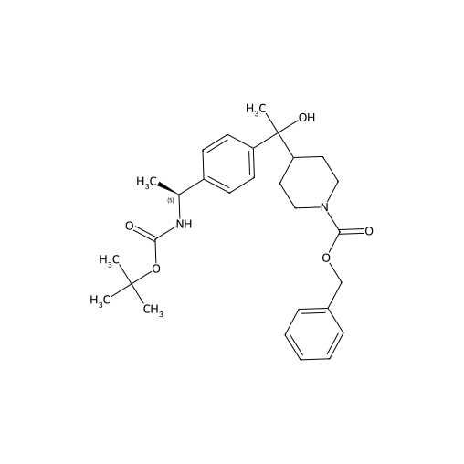 C[C@H](NC(=O)OC(C)(C)C)c1ccc(C(C)(O)C2CCN(C(=O)OCc3ccccc3)CC2)cc1